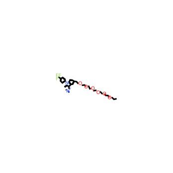 C=c1/c(=C\N(C)C)c2cc(CCOCCOCCOCCOCCOCCOCCC)ccc2n1-c1ccc(C(F)(F)F)cc1